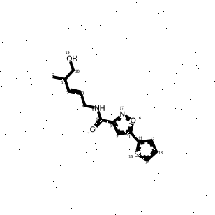 CC(/C=C/CNC(=O)c1cc(-c2cccs2)on1)CO